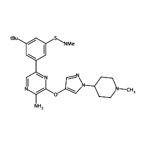 CNSc1cc(-c2cnc(N)c(Oc3cnn(C4CCN(C)CC4)c3)n2)cc(C(C)(C)C)c1